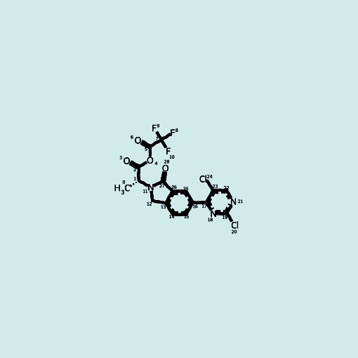 C[C@H](C(=O)OC(=O)C(F)(F)F)N1Cc2ccc(-c3nc(Cl)ncc3Cl)cc2C1=O